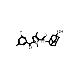 Cc1cc(F)cc(C(=O)c2cc(C)c(C(=O)NC3C4CC5CC3CC(O)(C5)C4)n2C)c1